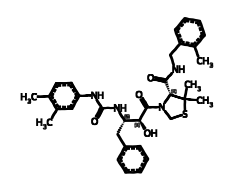 Cc1ccc(NC(=O)N[C@@H](Cc2ccccc2)[C@H](O)C(=O)N2CSC(C)(C)[C@H]2C(=O)NCc2ccccc2C)cc1C